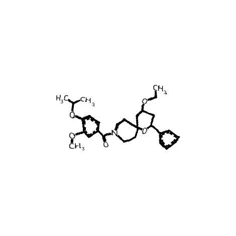 CCOC1CC(c2ccccc2)OC2(CCN(C(=O)c3ccc(OC(C)C)c(OC)c3)CC2)C1